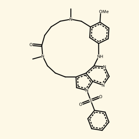 COc1ccc2cc1CN(C)CCCC(=O)N(C)CCCc1cn(S(=O)(=O)c3ccccc3)c3ncnc(c13)N2